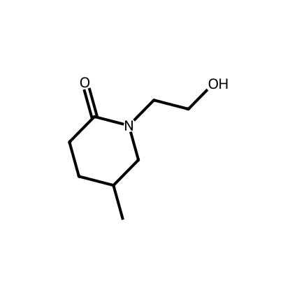 CC1CCC(=O)N(CCO)C1